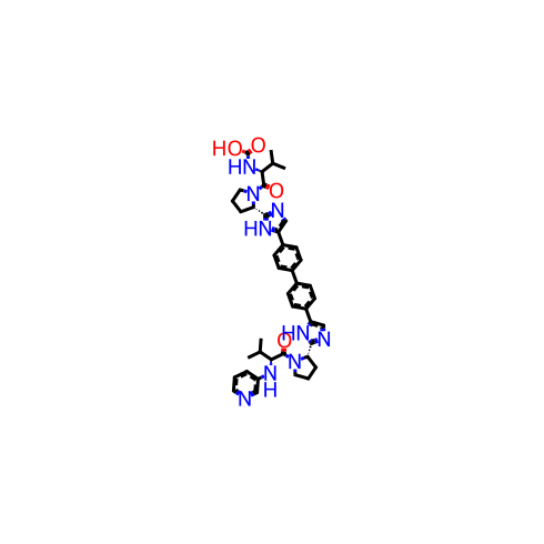 CC(C)[C@H](NC(=O)O)C(=O)N1CCC[C@H]1c1ncc(-c2ccc(-c3ccc(-c4cnc([C@@H]5CCCN5C(=O)[C@@H](Nc5cccnc5)C(C)C)[nH]4)cc3)cc2)[nH]1